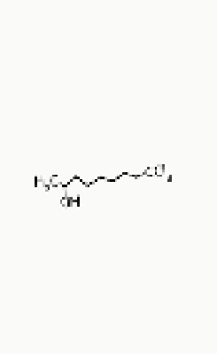 CC(O)CCCCCCC(Cl)(Cl)Cl